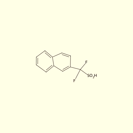 O=S(=O)(O)C(F)(F)c1ccc2ccccc2c1